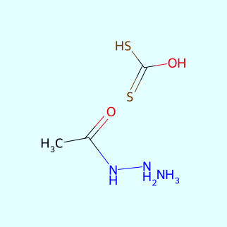 CC(=O)NN.N.OC(=S)S